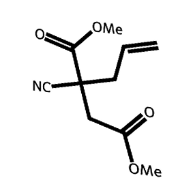 C=CCC(C#N)(CC(=O)OC)C(=O)OC